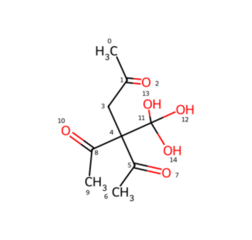 CC(=O)CC(C(C)=O)(C(C)=O)C(O)(O)O